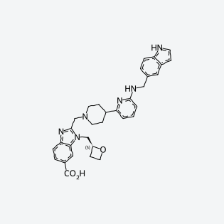 O=C(O)c1ccc2nc(CN3CCC(c4cccc(NCc5ccc6[nH]ccc6c5)n4)CC3)n(C[C@@H]3CCO3)c2c1